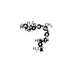 COc1c(N2CCC(CN3CCN(CC4CCN(c5cc(-c6n[nH]c7ccc(OC8(C)CC8)cc67)ncn5)CC4)C[C@H]3C)CC2)ccc2c1CN(C1CCC(=O)NC1=O)C2=O